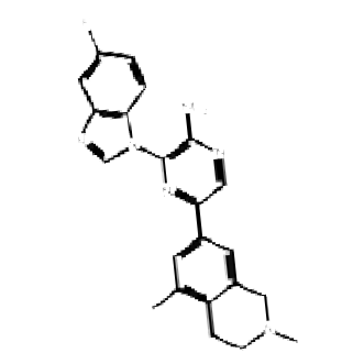 Cc1cc(-c2cnc(N)c(-n3cnc4cc(F)ccc43)n2)cc2c1CCN(C)C2